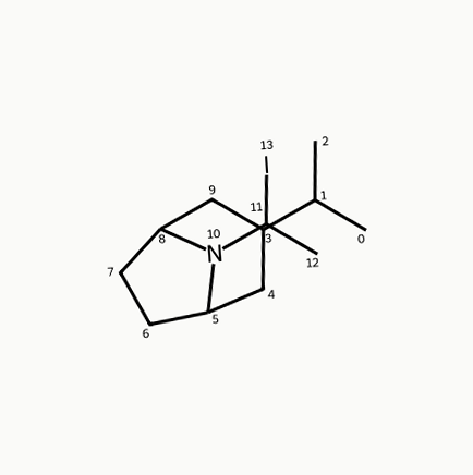 CC(C)C1CC2CCC(C1)N2C(C)I